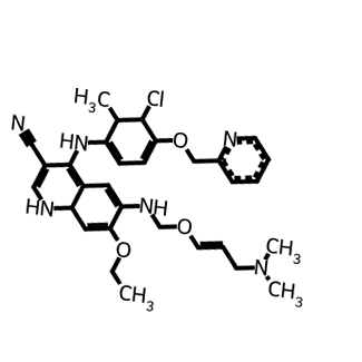 CCOC1=CC2NC=C(C#N)C(NC3=CC=C(OCc4ccccn4)C(Cl)C3C)=C2C=C1NCO/C=C/CN(C)C